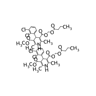 CCCC(=O)OCOC(=O)C1=C(C)NC(C)=C(C(=O)OC)C1c1cccc(Cl)c1Cl.CCCC(=O)OCOC(=O)C1=C(C)NC(C)=C(C(=O)OC)C1c1cccc(Cl)c1Cl